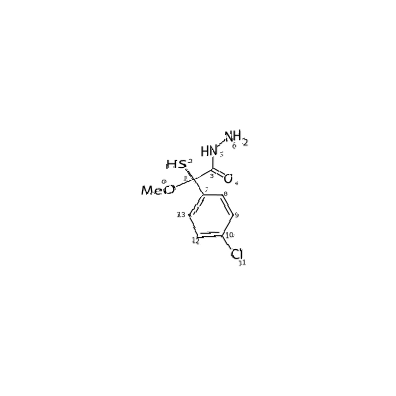 COC(S)(C(=O)NN)c1ccc(Cl)cc1